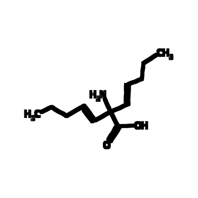 CCC/C=C/C(N)(/C=C/CCC)C(=O)O